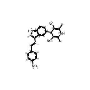 CC1=C(C#N)C(c2ccc3[nH]nc(N=Cc4ccc([N+](=O)[O-])cc4)c3c2)C(C#N)=C(C)N1